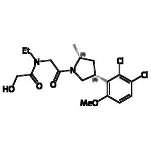 CCN(CC(=O)N1C[C@@H](c2c(OC)ccc(Cl)c2Cl)C[C@H]1C)C(=O)CO